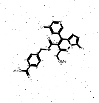 CCc1ccc2c(-c3cncc(Br)c3)c(C(=O)NCc3ccc(C(=O)OC)cc3)c(COC)nn12